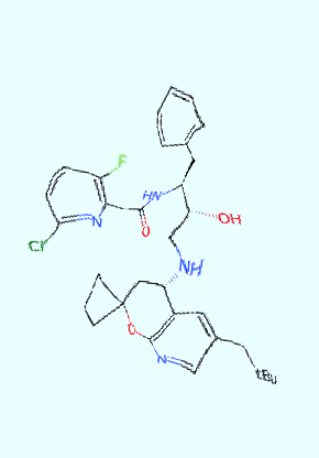 CC(C)(C)Cc1cnc2c(c1)[C@@H](NC[C@@H](O)[C@H](Cc1ccccc1)NC(=O)c1nc(Cl)ccc1F)CC1(CCC1)O2